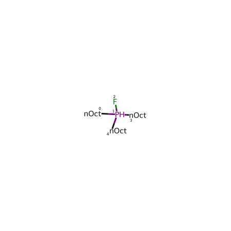 CCCCCCCC[PH](F)(CCCCCCCC)CCCCCCCC